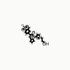 Cc1cc(C(CC2CCCC2)C(=O)Nc2ccn(CCCO)n2)ccc1S(C)(=O)=O